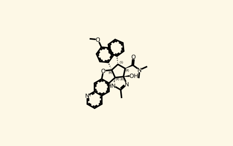 COc1ccc([C@@]23Oc4cc5ncccc5cc4[C@@]24NC(C)=N[C@@]4(O)[C@H](C(=O)N(C)C)[C@H]3c2ccccc2)cc1